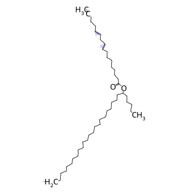 [CH2]CCCCCCCCCCCCCCCCCCCCCCC(CCCCC)OC(=O)CCCCCCC/C=C/C/C=C/CCCCC